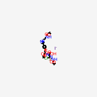 C[n+]1cc(-c2ccc(OCC(ON=C(C(=O)O)c3nc(NC(=O)OC(C)(C)C)sc3Cl)C(=O)OC(C)(C)C)cc2)cn1CCCNC(=O)OC(C)(C)C.[I-]